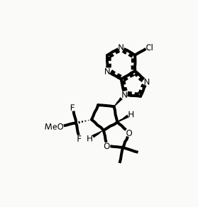 COC(F)(F)[C@@H]1C[C@@H](n2cnc3c(Cl)ncnc32)[C@@H]2OC(C)(C)O[C@@H]21